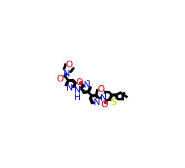 Cn1cc(-c2ccnc(N3CCc4c(sc5c4CC(C)(C)C5)C3=O)c2C=O)cc(Nc2ccc(C(=O)N3CCOCC3)cn2)c1=O